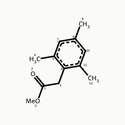 COC(=O)Cc1c(C)[c]c(C)cc1C